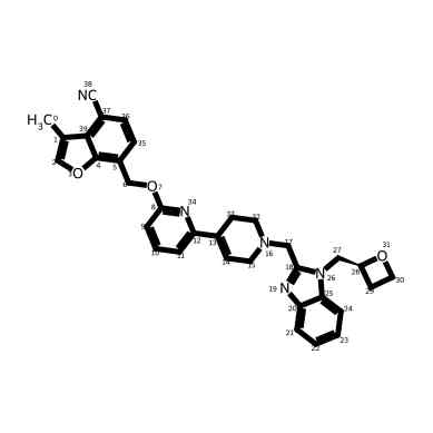 Cc1coc2c(COc3cccc(C4=CCN(Cc5nc6ccccc6n5C[C@@H]5CCO5)CC4)n3)ccc(C#N)c12